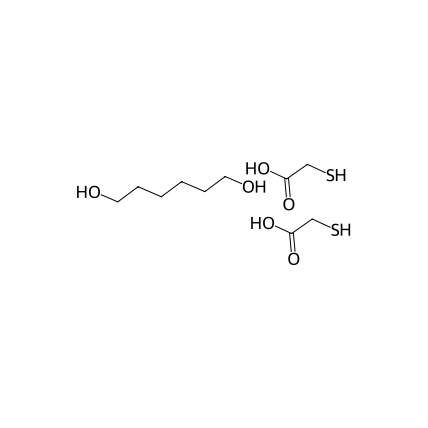 O=C(O)CS.O=C(O)CS.OCCCCCCO